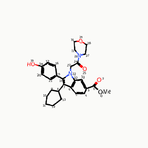 COC(=O)c1ccc2c(C3CCCCC3)c(-c3ccc(O)cc3)n(CC(=O)N3CCOCC3)c2c1